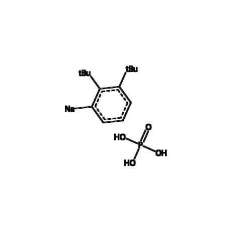 CC(C)(C)c1ccc[c]([Na])c1C(C)(C)C.O=P(O)(O)O